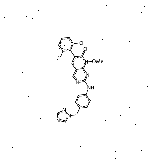 COn1c(=O)c(-c2c(Cl)cccc2Cl)cc2cnc(Nc3ccc(Cn4cncn4)cc3)nc21